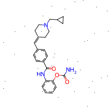 NC(=O)Oc1ccccc1NC(=O)c1ccc(C=C2CCN(CC3CC3)CC2)cc1